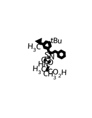 CC(C)(CNS(=O)(=O)c1nc(CC2CCCCC2)c(-c2cc(C(C)(C)C)cc(C3(C)CC3)c2)s1)C(=O)O